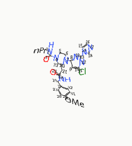 CCCNC(=O)N1CCN(c2cc(Cl)nc(-n3ccnc3)n2)C(CC(=O)NCc2ccc(OC)cc2)C1